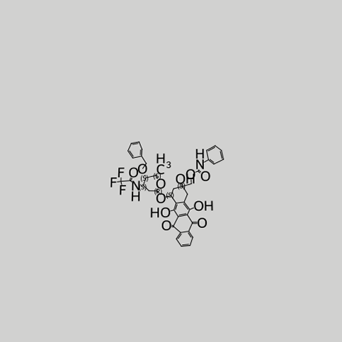 C[C@@H]1O[C@@H](O[C@H]2C[C@](O)(COC(=O)Nc3ccccc3)Cc3c(O)c4c(c(O)c32)C(=O)c2ccccc2C4=O)C[C@H](NC(=O)C(F)(F)F)[C@@H]1OCc1ccccc1